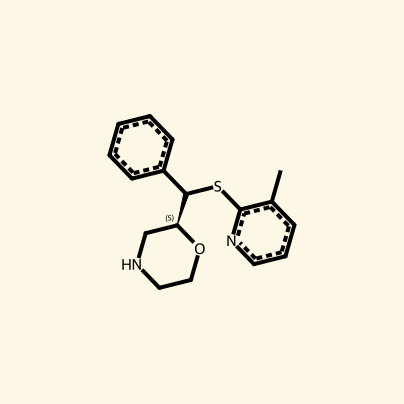 Cc1cccnc1SC(c1ccccc1)[C@@H]1CNCCO1